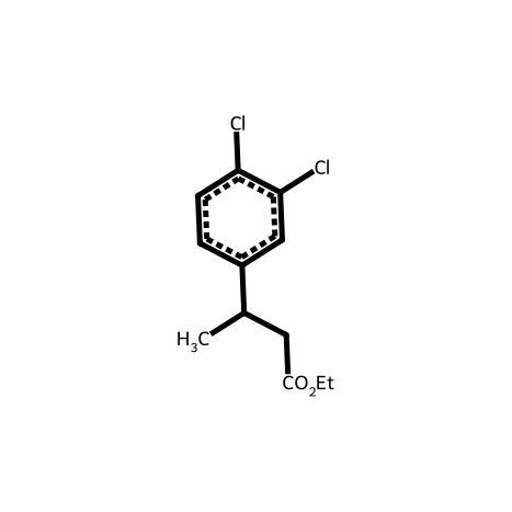 CCOC(=O)CC(C)c1ccc(Cl)c(Cl)c1